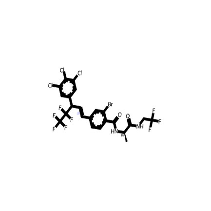 C[C@@H](NC(=O)c1ccc(/C=C/C(c2cc(Cl)c(Cl)c(Cl)c2)C(F)(F)C(F)(F)F)cc1Br)C(=O)NCC(F)(F)F